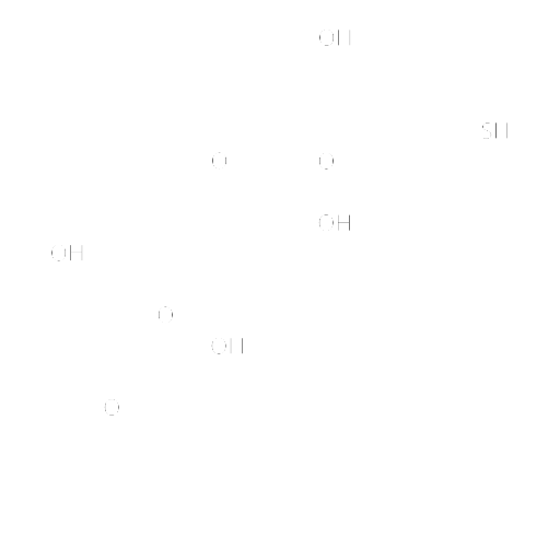 CCC(CO)OC(CO)OC(C)C(CO)OC(CO)OCCS